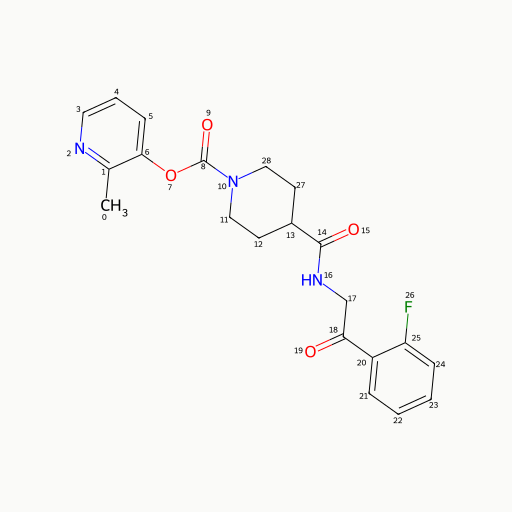 Cc1ncccc1OC(=O)N1CCC(C(=O)NCC(=O)c2ccccc2F)CC1